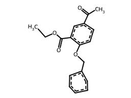 CCOC(=O)c1cc(C(C)=O)ccc1OCc1ccccc1